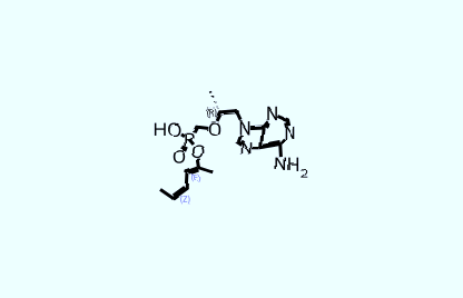 C/C=C\C=C(/C)OP(=O)(O)CO[C@H](C)Cn1cnc2c(N)ncnc21